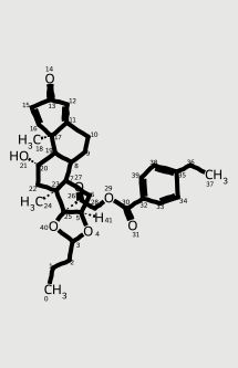 CCCC1O[C@@H]2CC3C4CCC5=CC(=O)C=C[C@]5(C)C4[C@@H](O)C[C@]3(C)[C@]2(C(=O)COC(=O)c2ccc(CC)cc2)O1